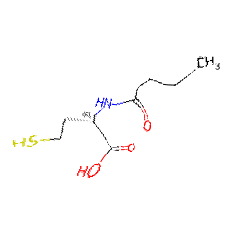 CCCC(=O)N[C@@H](CCS)C(=O)O